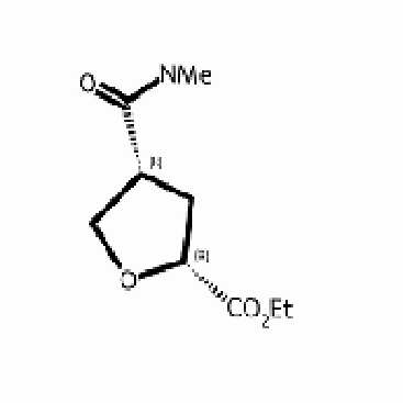 CCOC(=O)[C@H]1C[C@@H](C(=O)NC)CO1